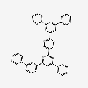 c1ccc(-c2cccc(-c3cc(-c4ccccc4)nc(-c4ccc(-c5cc(-c6ccccc6)cc(-c6ccccn6)n5)nc4)n3)c2)cc1